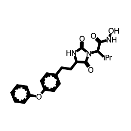 CC(C)C(C(=O)NO)N1C(=O)NC(CCc2ccc(Oc3ccccc3)cc2)C1=O